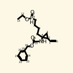 C=CC1CC1(CCCC[PH](=O)OCC)NC(=O)OCc1ccccc1